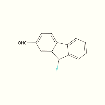 O=Cc1ccc2c(c1)C(F)c1ccccc1-2